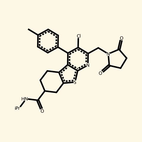 Cc1ccc(-c2c(Cl)c(CN3C(=O)CCC3=O)nc3sc4c(c23)CCC(C(=O)NC(C)C)C4)cc1